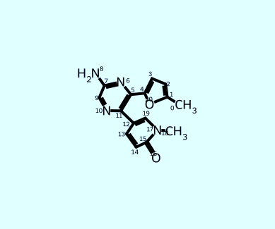 Cc1ccc(-c2nc(N)cnc2-c2ccc(=O)n(C)c2)o1